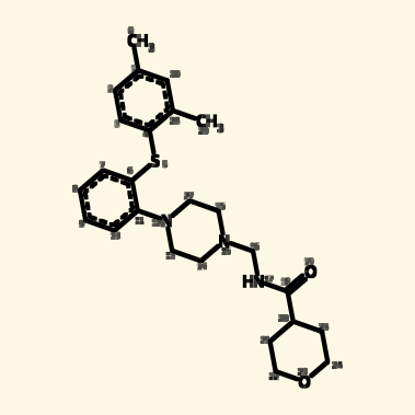 Cc1ccc(Sc2ccccc2N2CCN(CNC(=O)C3CCOCC3)CC2)c(C)c1